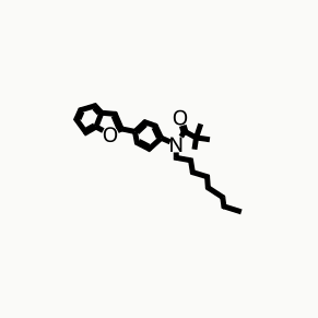 CCCCCCCCN(C(=O)C(C)(C)C)c1ccc(-c2cc3ccccc3o2)cc1